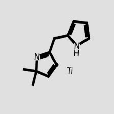 CC1(C)C=CC(Cc2ccc[nH]2)=N1.[Ti]